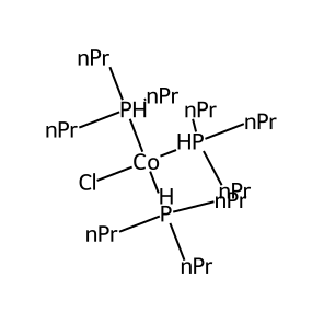 CCC[PH](CCC)(CCC)[Co]([Cl])([PH](CCC)(CCC)CCC)[PH](CCC)(CCC)CCC